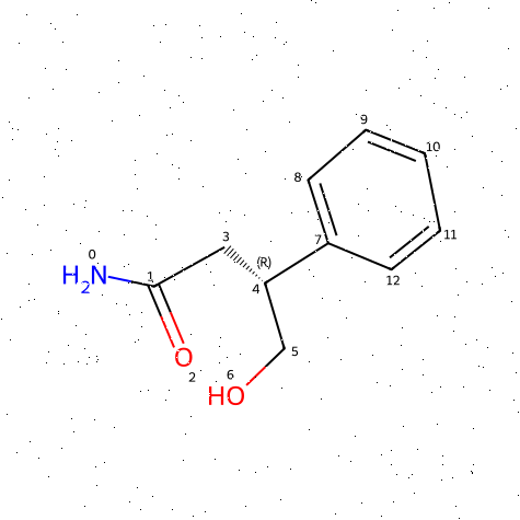 NC(=O)C[C@@H](CO)c1ccccc1